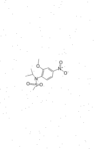 COc1cc([N+](=O)[O-])ccc1N(C(C)C)S(C)(=O)=O